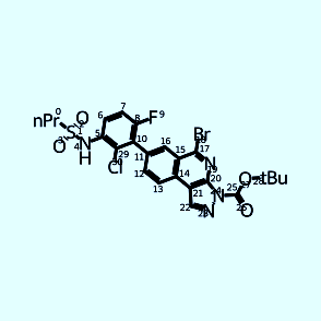 CCCS(=O)(=O)Nc1ccc(F)c(-c2ccc3c(c2)c(Br)nc2c3cnn2C(=O)OC(C)(C)C)c1Cl